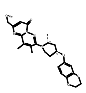 COCc1cc(=O)n2nc(N3CC[C@H](Oc4ccc5c(c4)OCCO5)C[C@H]3C)c(C)c(C)c2n1